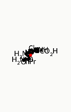 CCCN(CC(N)=O)C(=O)C1=Cc2cc(-c3ccc(NC(=O)O)cc3Cl)ccc2N=C(N)C1